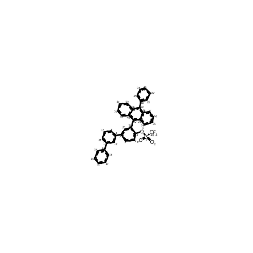 O=S(=O)(Oc1ccc(-c2cccc(-c3ccccc3)c2)cc1-c1c2ccccc2c(-c2ccccc2)c2ccccc12)C(F)(F)F